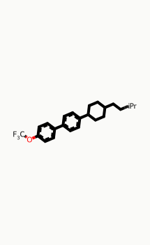 CC(C)CCC1CCC(c2ccc(-c3ccc(OC(F)(F)F)cc3)cc2)CC1